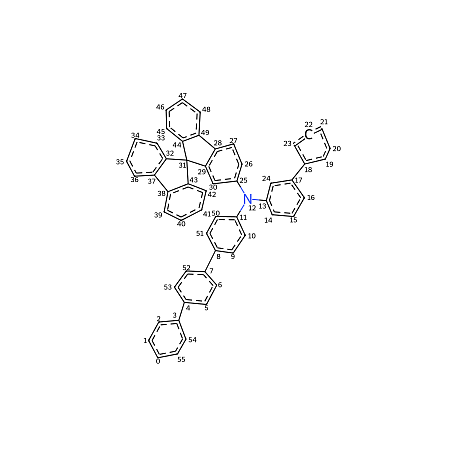 c1ccc(-c2ccc(-c3ccc(N(c4cccc(-c5ccccc5)c4)c4ccc5c(c4)C4(c6ccccc6-c6ccccc64)c4ccccc4-5)cc3)cc2)cc1